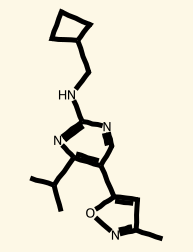 Cc1cc(-c2cnc(NCC3CCC3)nc2C(C)C)on1